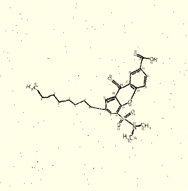 CCCCCCCCc1cc(S(=O)(=O)N(C)C)c2oc3ccc(C(=O)O)cc3c(=O)c2c1